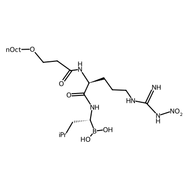 CCCCCCCCOCCC(=O)N[C@@H](CCCNC(=N)N[N+](=O)[O-])C(=O)N[C@@H](CC(C)C)B(O)O